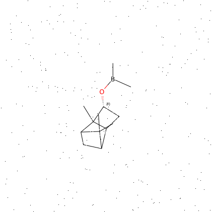 CB(C)O[C@@H]1CC2C3CC(C3(C)C)C21C